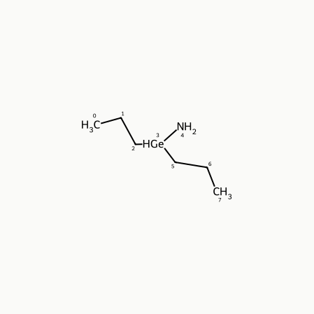 CC[CH2][GeH]([NH2])[CH2]CC